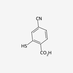 N#Cc1ccc(C(=O)O)c(S)c1